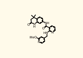 COc1cc(CNc2ncccc2C(=O)Nc2ccc3c(c2)NC(=O)CC3(C)C)ccn1